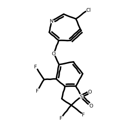 O=S1(=O)c2ccc(OC3=CN=CC(Cl)C#C3)c(C(F)F)c2CC1(F)F